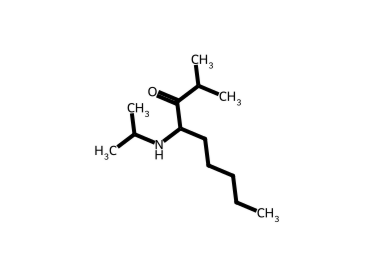 CCCCCC(NC(C)C)C(=O)C(C)C